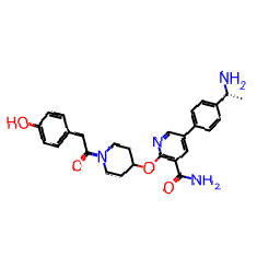 C[C@@H](N)c1ccc(-c2cnc(OC3CCN(C(=O)Cc4ccc(O)cc4)CC3)c(C(N)=O)c2)cc1